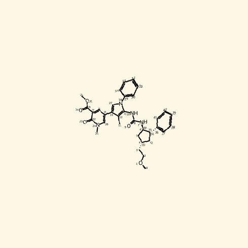 COCC[C@@H]1C[C@@H](NC(=O)Nc2c(C)c(-c3cc(C(=O)OC)c(=O)n(C)c3)cn2-c2ccccc2)[C@H](c2ccccc2)C1